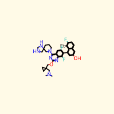 CCc1c(F)ccc2cc(O)cc(-c3c(F)cc4c(N5CCCC6(CNCN6)C5)nc(OCC5(CN(C)C)CC5)nc4c3F)c12